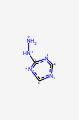 NNc1ncncn1